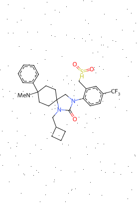 CNC1(c2ccccc2)CCC2(CC1)CN(c1ccc(C(F)(F)F)cc1C[SH](=O)=O)C(=O)N2CC1CCC1